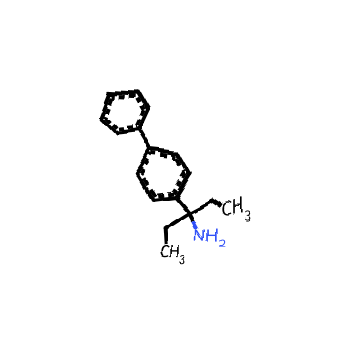 CCC(N)(CC)c1ccc(-c2ccccc2)cc1